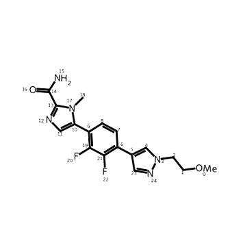 COCCn1cc(-c2ccc(-c3cnc(C(N)=O)n3C)c(F)c2F)cn1